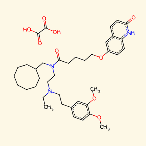 CCN(CCc1ccc(OC)c(OC)c1)CCN(CC1CCCCCCC1)C(=O)CCCCOc1ccc2[nH]c(=O)ccc2c1.O=C(O)C(=O)O